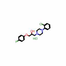 Cl.OC(COc1ccc(F)cc1)CN1CCN(c2ccccc2Cl)CC1